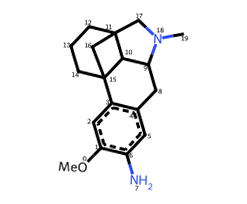 COc1cc2c(cc1N)CC1C3C4(CCCC23C4)CN1C